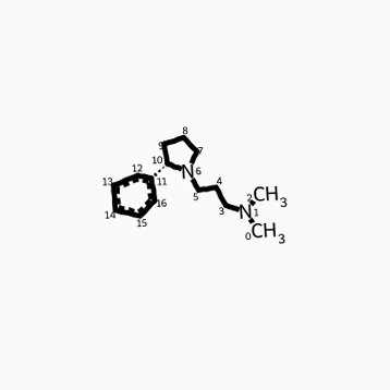 CN(C)CCCN1CCC[C@H]1c1ccccc1